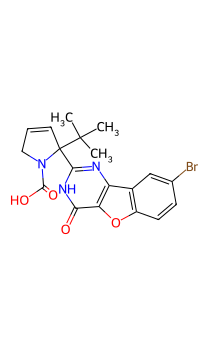 CC(C)(C)C1(c2nc3c(oc4ccc(Br)cc43)c(=O)[nH]2)C=CCN1C(=O)O